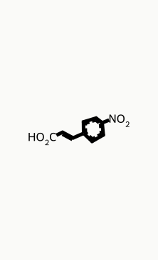 O=C(O)C=Cc1ccc([N+](=O)[O-])cc1